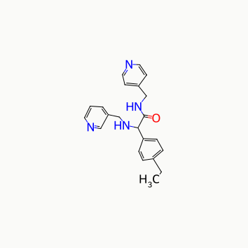 CCc1ccc(C(NCc2cccnc2)C(=O)NCc2ccncc2)cc1